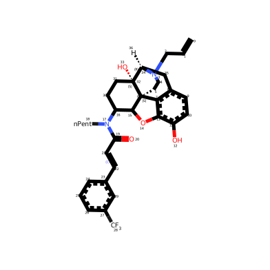 C=CCN1CC[C@]23c4c5ccc(O)c4OC2C(N(CCCCC)C(=O)/C=C/c2cccc(C(F)(F)F)c2)CC[C@@]3(O)[C@H]1C5